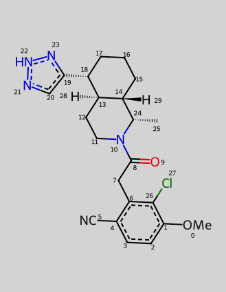 COc1ccc(C#N)c(CC(=O)N2CC[C@@H]3[C@H](CCC[C@H]3c3cn[nH]n3)[C@@H]2C)c1Cl